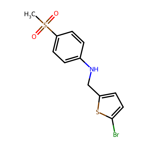 CS(=O)(=O)c1ccc(NCc2ccc(Br)s2)cc1